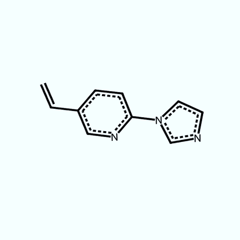 C=Cc1ccc(-n2ccnc2)nc1